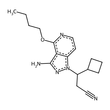 CCCCOc1nccc2c1c(N)nn2C(CC#N)C1CCC1